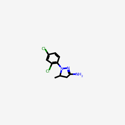 CC1CC(N)=NN1c1ccc(Cl)cc1Cl